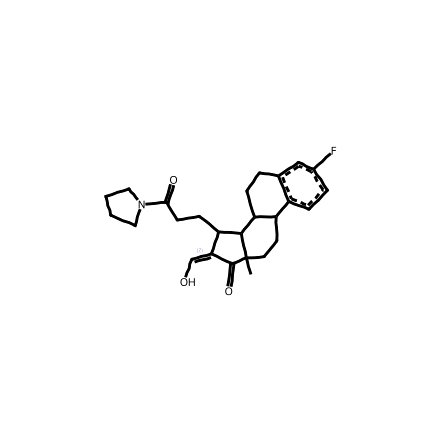 CC12CCC3c4ccc(F)cc4CCC3C1C(CCC(=O)N1CCCC1)/C(=C/O)C2=O